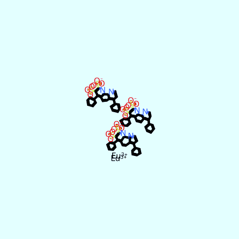 O=S(=O)([O-])c1nc2c(ccc3c(-c4ccccc4)ccnc32)c(-c2ccccc2)c1S(=O)(=O)[O-].O=S(=O)([O-])c1nc2c(ccc3c(-c4ccccc4)ccnc32)c(-c2ccccc2)c1S(=O)(=O)[O-].O=S(=O)([O-])c1nc2c(ccc3c(-c4ccccc4)ccnc32)c(-c2ccccc2)c1S(=O)(=O)[O-].[Eu+3].[Eu+3]